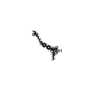 C=CC(=O)OCCCCCCOc1ccc(-c2ccc(C3O[C@@H](C(=O)O)[C@H](C(=O)OCCCC)O3)cc2)cc1